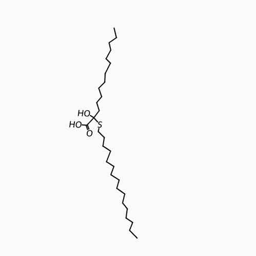 CCCCCCCCCCCCCCCCSC(O)(CCCCCCCCCCCC)C(=O)O